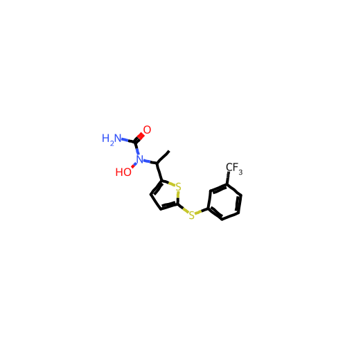 CC(c1ccc(Sc2cccc(C(F)(F)F)c2)s1)N(O)C(N)=O